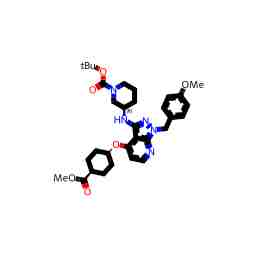 COc1ccc(Cn2nc(N[C@@H]3CCCN(C(=O)OC(C)(C)C)C3)c3c(O[C@H]4CC[C@H](C(=O)OC)CC4)ccnc32)cc1